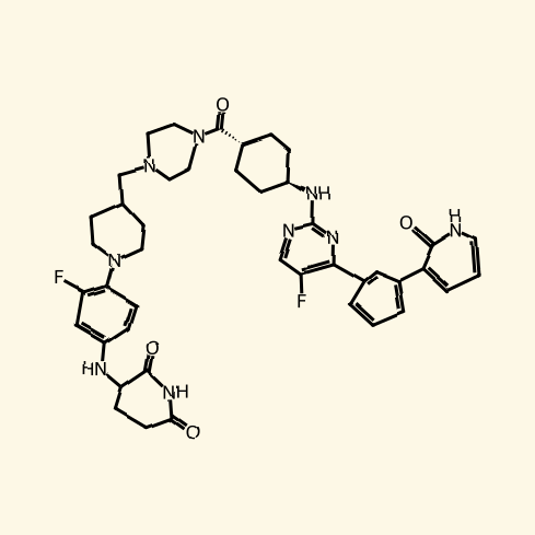 O=C1CCC(Nc2ccc(N3CCC(CN4CCN(C(=O)[C@H]5CC[C@H](Nc6ncc(F)c(-c7cccc(-c8ccc[nH]c8=O)c7)n6)CC5)CC4)CC3)c(F)c2)C(=O)N1